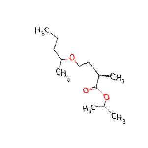 CCCC(C)OCC[C@@H](C)C(=O)OC(C)C